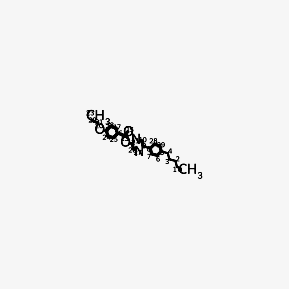 CCCCCc1ccc(-c2cnc(OC(=O)c3ccc(OCCC)cc3)cn2)cc1